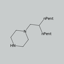 CCCCCC(CCCCC)CN1CCNCC1